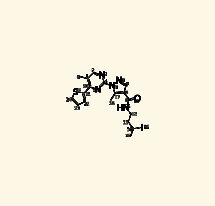 Cc1cnc(-n2ncc(C(=O)NCCC(C)I)c2C)nc1-c1cccs1